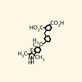 CCC1=C(C)NNC1(C)c1ccc(OCc2cccc(Cc3ccc(C(=O)O)cc3C(=O)O)c2)c(C)c1